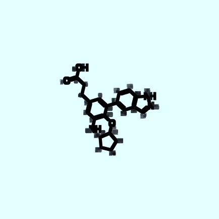 Nc1cc(CCC(=O)O)cc(-c2ccc3[nH]ncc3c2)c1OC1CCCC1